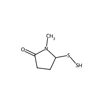 CN1C(=O)CCC1SS